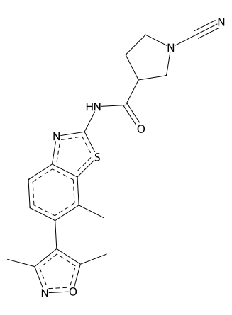 Cc1noc(C)c1-c1ccc2nc(NC(=O)C3CCN(C#N)C3)sc2c1C